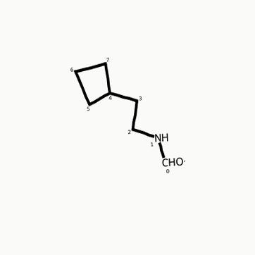 O=[C]NCCC1CCC1